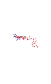 CCCCCCCC(COC1OC(C)C(O)C(OC2OC(C)C(O)C(OC(C)=O)C2CO)C1O)CC(=O)OC(CCCCCCC)CC(=O)OC(CCCCCCC)CC(=O)NC(CO)C(=O)NC(CO)CC(C)C